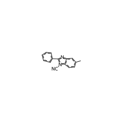 Cc1ccc2c(c1)nc(-c1ccccc1)n2C#N